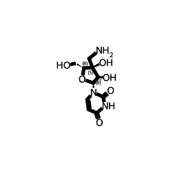 NC[C@@]1(O)[C@@H](CO)O[C@@H](n2ccc(=O)[nH]c2=O)[C@@H]1O